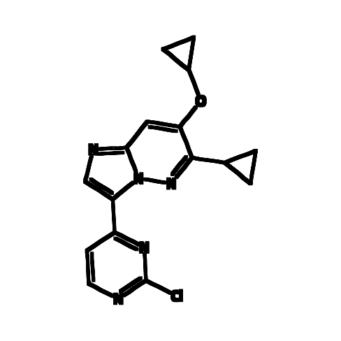 Clc1nccc(-c2cnc3cc(OC4CC4)c(C4CC4)nn23)n1